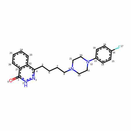 O=c1[nH]nc(CCCCN2CCN(c3ccc(F)cc3)CC2)c2ccccc12